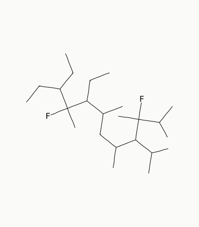 CCC(CC)C(C)(F)C(CC)C(C)CC(C)C(C(C)C)C(C)(F)C(C)C